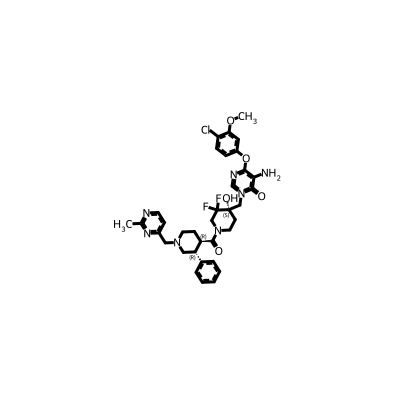 COc1cc(Oc2ncn(C[C@@]3(O)CCN(C(=O)[C@@H]4CCN(Cc5ccnc(C)n5)C[C@H]4c4ccccc4)CC3(F)F)c(=O)c2N)ccc1Cl